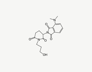 CN(C)c1cccc2c1C(=O)N(C1CCC(=O)N(CCCO)C1=O)C2=O